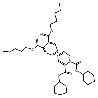 CCCCCOC(=O)c1ccccc1C(=O)OCCCCC.O=C(OC1CCCCC1)c1ccccc1C(=O)OC1CCCCC1